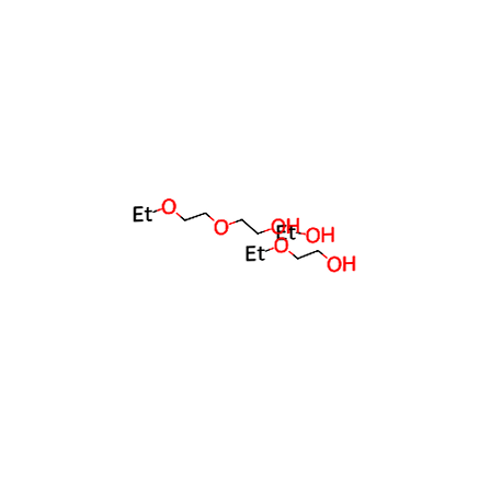 CCO.CCOCCO.CCOCCOCCO